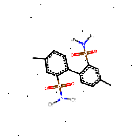 CCN(CC)S(=O)(=O)c1cc(C)ccc1-c1ccc(C)cc1S(=O)(=O)N(CC)CC